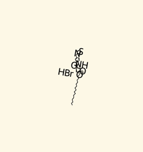 Br.CCCCCCCCCCCCCCCCOc1ccc(C(=O)Nc2ccc(CN3C=CSC3)cc2)cc1OC